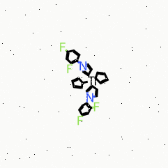 Fc1ccc(-n2cc[c]([Ti]([c]3ccn(-c4ccc(F)cc4F)c3)([CH]3C=CC=C3)[CH]3C=CC=C3)c2)c(F)c1